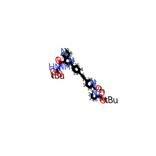 CC(C)(C)OC(=O)NNC(=O)c1cc(-c2ccc(C#Cc3ccc(C(=O)N4CCC[C@@H]4C(=O)OC(C)(C)C)nc3)cc2)nc2ccncc12